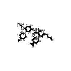 C=CCCc1cc(N2CCC3(CC2)CC3)c(C(=O)Nc2ccc(OCF)c(N3CCC(F)CC3)c2)cn1